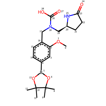 COc1cc(B2OC(C)(C)C(C)(C)O2)ccc1CN(C[C@@H]1CCC(=O)N1)C(=O)O